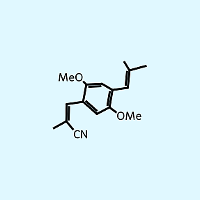 COc1cc(/C=C(/C)C#N)c(OC)cc1C=C(C)C